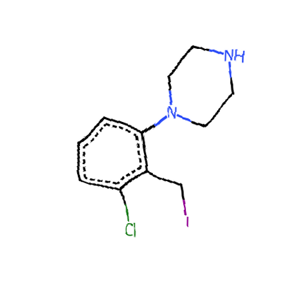 Clc1cccc(N2CCNCC2)c1CI